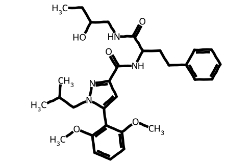 CCC(O)CNC(=O)C(CCc1ccccc1)NC(=O)c1cc(-c2c(OC)cccc2OC)n(CC(C)C)n1